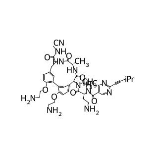 Cc1nc(C#CC(C)C)ncc1C(=O)N[C@@H](CCN)C(=O)N(C)[C@@H]1C(=O)N[C@@H](C)C(=O)N[C@H](C(=O)NCC#N)Cc2ccc(OCCN)c(c2)-c2cc1ccc2OCCN